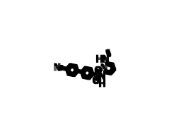 CCNc1cccc(NS(=O)(=O)c2ccc(-c3ccc(C#N)cc3)cc2)n1